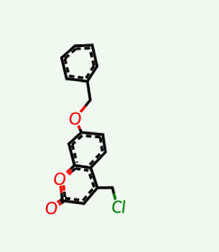 O=c1cc(CCl)c2ccc(OCc3ccccc3)cc2o1